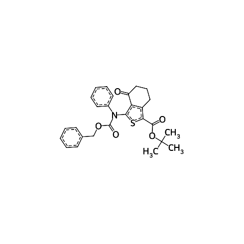 CC(C)(C)OC(=O)c1sc(N(C(=O)OCc2ccccc2)c2ccccc2)c2c1CCCC2=O